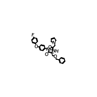 O=C(CN1CC=CC1)N[C@@H](COCc1ccccc1)C(=O)Nc1ccc(Oc2ccc(F)cc2)cc1